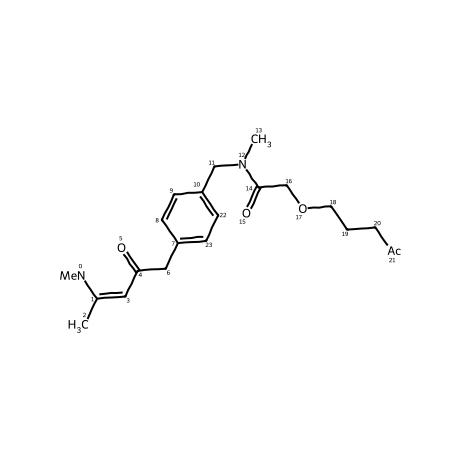 CN/C(C)=C\C(=O)Cc1ccc(CN(C)C(=O)COCCCC(C)=O)cc1